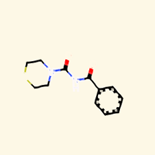 O=C(NC(=O)N1CCSCC1)c1ccccc1